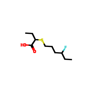 CCC(F)CCCSC(CC)C(=O)O